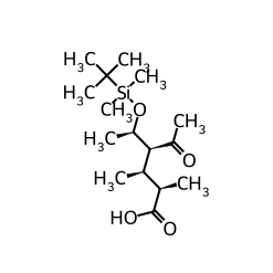 CC(=O)[C@@H]([C@H](C)[C@@H](C)C(=O)O)[C@@H](C)O[Si](C)(C)C(C)(C)C